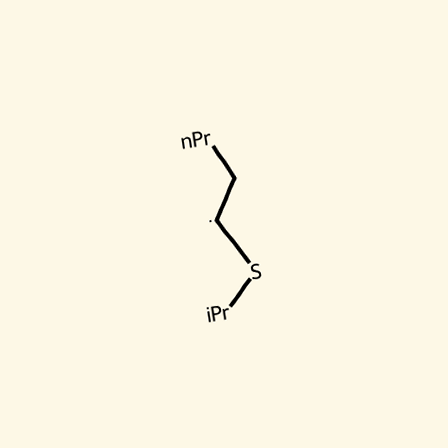 CCCC[CH]SC(C)C